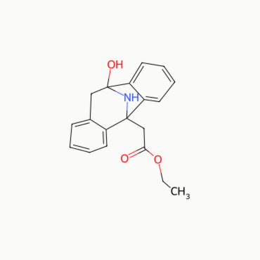 CCOC(=O)CC12NC(O)(Cc3ccccc31)c1ccccc12